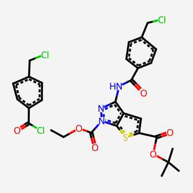 CCOC(=O)n1nc(NC(=O)c2ccc(CCl)cc2)c2cc(C(=O)OC(C)(C)C)sc21.O=C(Cl)c1ccc(CCl)cc1